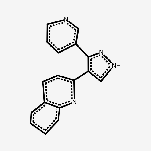 c1cncc(-c2n[nH]cc2-c2ccc3ccccc3n2)c1